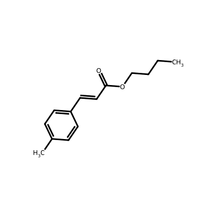 CCCCOC(=O)/C=C/c1ccc(C)cc1